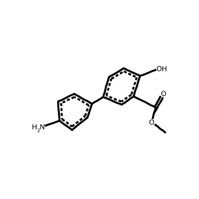 COC(=O)c1cc(-c2ccc(N)cc2)ccc1O